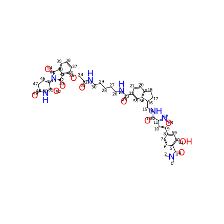 CN(C)C(=O)c1ccc(-c2cc(C(=O)NCC3CCc4ccc(C(=O)NCCCCCNC(=O)COc5cccc6c5C(=O)N(C5CCC(=O)NC5=O)C6=O)cc43)no2)cc1O